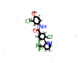 COc1ccc(NC(=O)c2ccc(-c3ncccc3C(F)(F)F)c(Cl)c2)cc1Cl